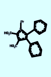 CC(C)n1c(C(=O)O)c(C(=O)O)c(-c2ccccc2)c1-c1ccccc1